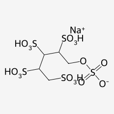 O=S(=O)(O)CC(C(C(COS(=O)(=O)[O-])S(=O)(=O)O)S(=O)(=O)O)S(=O)(=O)O.[Na+]